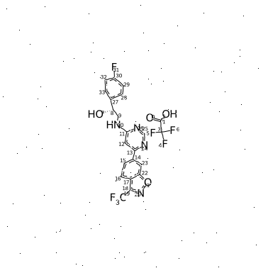 O=C(O)C(F)(F)F.O[C@@H](CNc1cc(-c2ccc3c(C(F)(F)F)noc3c2)ncn1)c1ccc(F)cc1